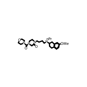 CCCN(CCCCN1CCN(C(=O)N2CCOCC2)CC1=O)C1CCc2ccc(OC)cc2C1